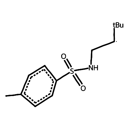 Cc1ccc(S(=O)(=O)NC[CH]C(C)(C)C)cc1